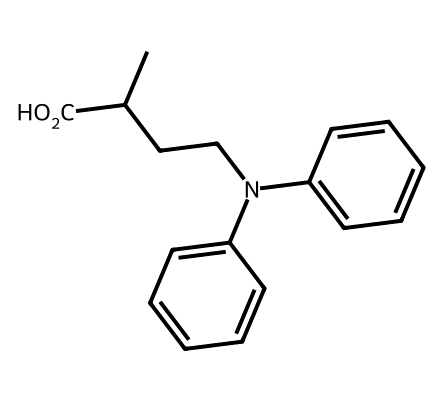 CC(CCN(c1ccccc1)c1ccccc1)C(=O)O